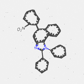 O=[N+]([O-])c1ccccc1-c1cc2nc(-c3ccccc3)n(-c3ccccc3)c2c2ccccc12